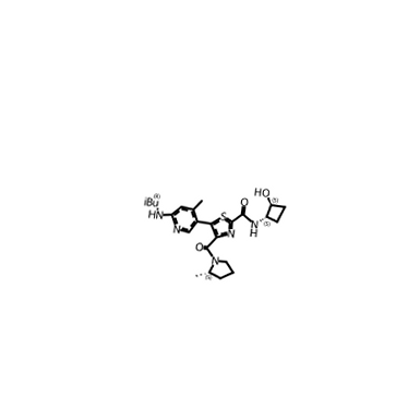 CC[C@@H](C)Nc1cc(C)c(-c2sc(C(=O)N[C@H]3CC[C@@H]3O)nc2C(=O)N2CCC[C@@H]2C)cn1